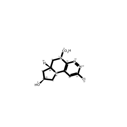 O=C(O)N1C[C@H]2C[C@H](O)CN2c2cc(Cl)nnc21